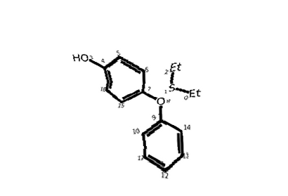 CCSCC.Oc1ccc(Oc2ccccc2)cc1